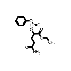 CCOC(=O)C(CCC(N)=O)O[PH](=O)Oc1ccccc1